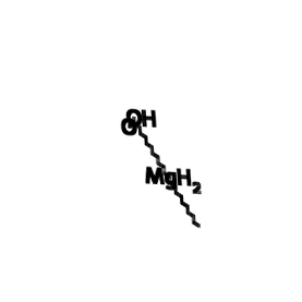 CCCCCCCCCCCCCCCCCCCCCC(=O)O.[MgH2]